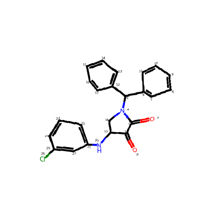 O=C1C(=O)N(C(c2ccccc2)c2ccccc2)CC1Nc1cccc(Cl)c1